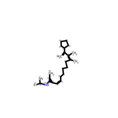 C=C(/C(C)=C(/C)CCCCC/C=C\C1=C(NC(CC)CCC)C1C)C1CCCC1